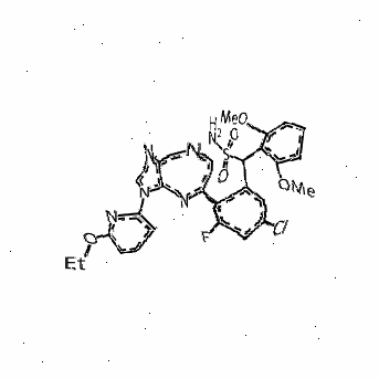 CCOc1cccc(-n2cnc3ncc(-c4c(F)cc(Cl)cc4C(c4c(OC)cccc4OC)S(N)(=O)=O)nc32)n1